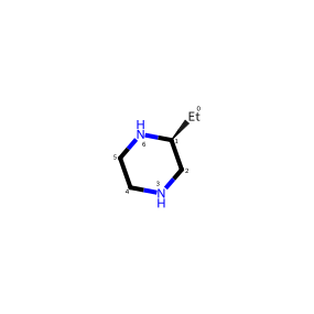 CC[C@H]1CNCCN1